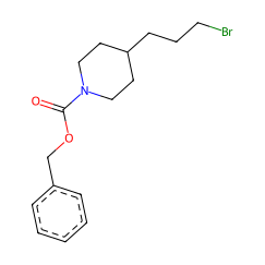 O=C(OCc1ccccc1)N1CCC(CCCBr)CC1